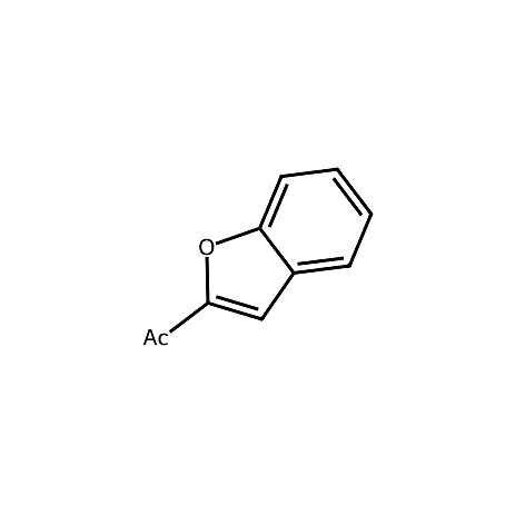 [CH2]C(=O)c1cc2ccccc2o1